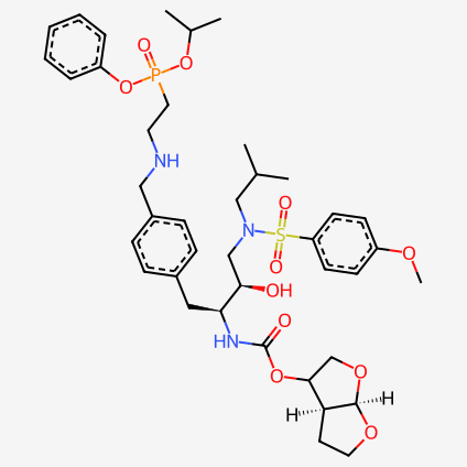 COc1ccc(S(=O)(=O)N(CC(C)C)C[C@@H](O)[C@H](Cc2ccc(CNCCP(=O)(Oc3ccccc3)OC(C)C)cc2)NC(=O)OC2CO[C@H]3OCC[C@@H]23)cc1